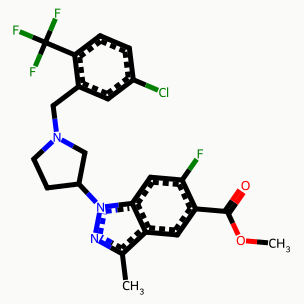 COC(=O)c1cc2c(C)nn(C3CCN(Cc4cc(Cl)ccc4C(F)(F)F)C3)c2cc1F